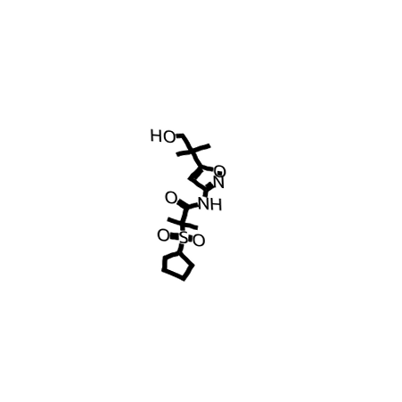 CC(C)(CO)c1cc(NC(=O)C(C)(C)S(=O)(=O)C2CCCC2)no1